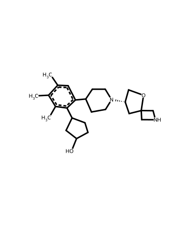 Cc1cc(C2CCN([C@@H]3COC4(CNC4)C3)CC2)c(C2CCC(O)C2)c(C)c1C